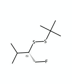 CC(C)[C@@H](CF)SSC(C)(C)C